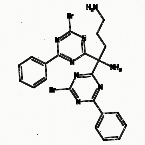 NCCCC(N)(c1nc(Br)nc(-c2ccccc2)n1)c1nc(Br)nc(-c2ccccc2)n1